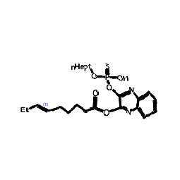 CC/C=C/CCCCC(=O)Oc1nc2ccccc2nc1OP(O)(=S)OCCCCCCC